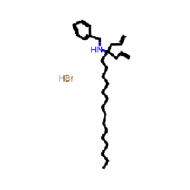 Br.C=CCC(CC=C)(CCCCCCCCCCCCCCC)NCc1ccccc1